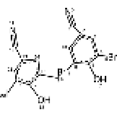 N#Cc1cc(Br)c(O)c(Br)c1.N#Cc1cc(I)c(O)c(I)c1